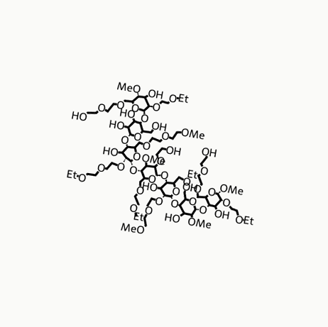 CCOCCOCCO[C@@H]1C(O)[C@@H](O[C@H]2OC(CO)[C@H](O[C@H]3OC(COCCOCCO)[C@H](OC)C(O)[C@H]3OCCOCC)C(O)C2O)C(COCCOCCOC)O[C@@H]1O[C@H]1C(COCCOCC)O[C@H](O[C@H]2C(COCC)O[C@H](O[C@H]3C(CO)O[C@H](O[C@H]4C(COCCOCCO)O[C@H](OC)[C@H](OCCOCC)C4O)C(OC)C3O)[C@H](OCCOCCOC)C2O)C(OCCO)C1OC